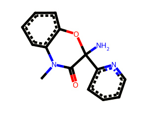 CN1C(=O)C(N)(c2ccccn2)Oc2ccccc21